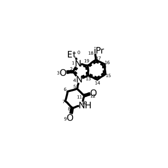 CCn1c(=O)n(C2CCC(=O)NC2=O)c2cccc(C(C)C)c21